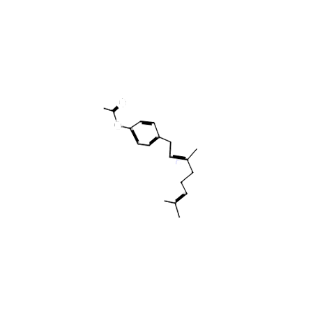 CC(=O)Oc1ccc(C/C=C(\C)CCC=C(C)C)cc1